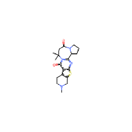 CN1CCc2c(sc3nc4n(c(=O)c23)C(C)(C)CC(=O)N2CCCC42)C1